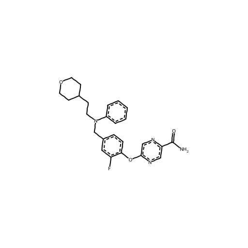 NC(=O)c1cnc(Oc2ccc(CN(CCC3CCOCC3)c3ccccc3)cc2F)cn1